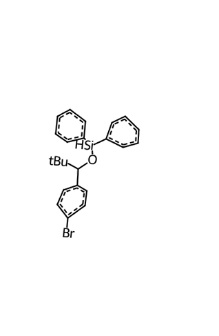 CC(C)(C)C(O[SiH](c1ccccc1)c1ccccc1)c1ccc(Br)cc1